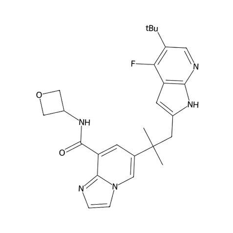 CC(C)(C)c1cnc2[nH]c(CC(C)(C)c3cc(C(=O)NC4COC4)c4nccn4c3)cc2c1F